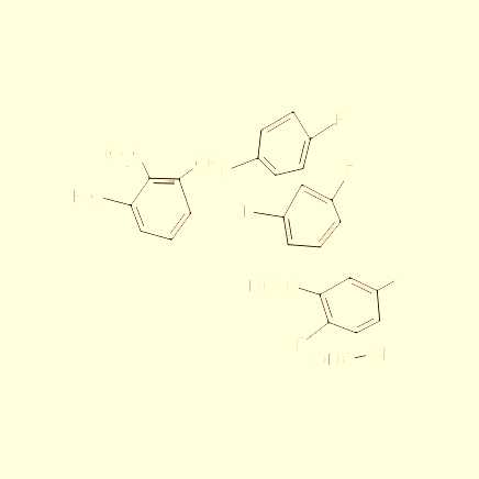 Fc1ccc(F)cc1.Fc1cccc(F)c1.O=C(O)c1c(C(F)(F)F)cccc1C(F)(F)F.O=C(O)c1cc(F)ccc1F.O=CO